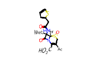 COC1(NC(=O)Cc2cccs2)C(=O)N2C(C(=O)O)=C(C(C)=O)C[S+]([O-])[C@H]21